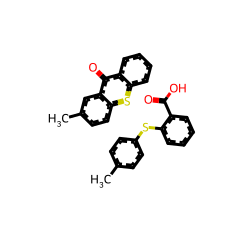 Cc1ccc(Sc2ccccc2C(=O)O)cc1.Cc1ccc2sc3ccccc3c(=O)c2c1